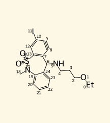 CCOCCCNC1c2c#cc(I)cc2S(=O)(=O)N(C)c2ccccc21